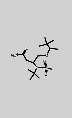 CC(OCC(CC(N)=O)N(C(C)(C)C)S(C)(=O)=O)C(C)(C)C